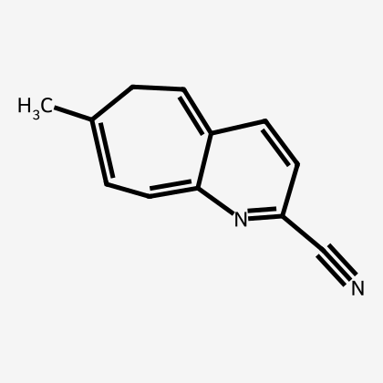 CC1=CC=c2nc(C#N)ccc2=CC1